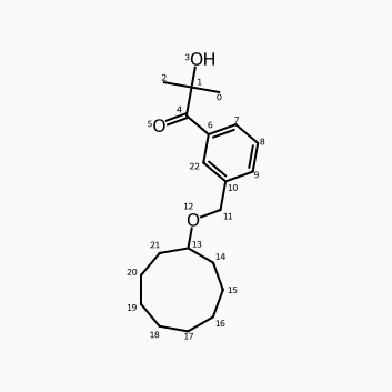 CC(C)(O)C(=O)c1cccc(COC2CCCCCCCC2)c1